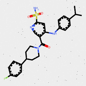 CC(C)c1ccc(Nc2cc(S(N)(=O)=O)ncc2C(=O)N2CCC(c3ccc(F)cc3)CC2)cc1